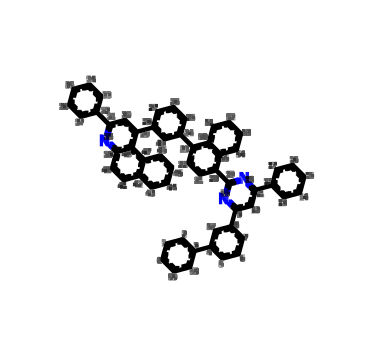 c1ccc(-c2cccc(-c3cc(-c4ccccc4)nc(-c4ccc(-c5cccc(-c6cc(-c7ccccc7)nc7ccc8ccccc8c67)c5)c5ccccc45)n3)c2)cc1